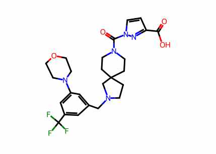 O=C(O)c1ccn(C(=O)N2CCC3(CCN(Cc4cc(N5CCOCC5)cc(C(F)(F)F)c4)C3)CC2)n1